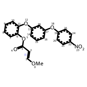 CO/C=C/C(=O)Oc1ccccc1Oc1cccc(Oc2ccc([N+](=O)[O-])cc2)c1